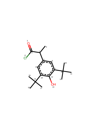 CC(C(=O)Cl)c1cc(C(C)(C)C)c(O)c(C(C)(C)C)c1